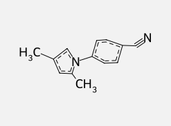 Cc1cc(C)n(-c2ccc(C#N)cc2)c1